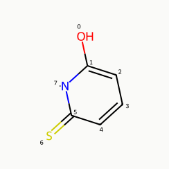 OC1=CC=CC(=S)[N]1